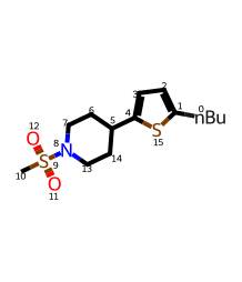 CCCCc1ccc(C2CCN(S(C)(=O)=O)CC2)s1